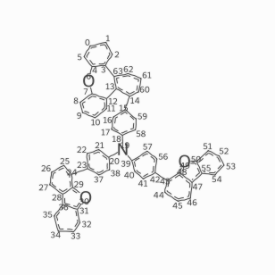 c1ccc2c(c1)Oc1ccccc1-c1c(-c3ccc(N(c4ccc(-c5cccc6c5oc5ccccc56)cc4)c4ccc(-c5cccc6c5oc5ccccc56)cc4)cc3)cccc1-2